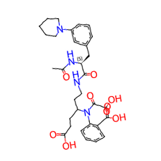 CC(=O)N[C@@H](Cc1cccc(N2CCCCC2)c1)C(=O)NCCC(CCC(=O)O)N(C(=O)C(=O)O)c1ccccc1C(=O)O